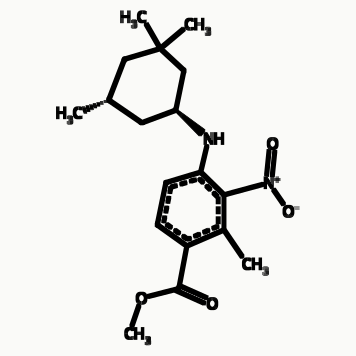 COC(=O)c1ccc(N[C@H]2C[C@H](C)CC(C)(C)C2)c([N+](=O)[O-])c1C